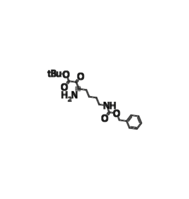 CC(C)(C)OC(=O)C(=O)[C@@H](N)CCCCNC(=O)OCc1ccccc1